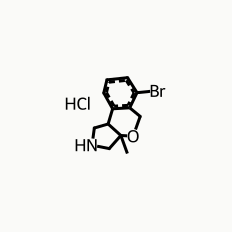 CC12CNCC1c1cccc(Br)c1CO2.Cl